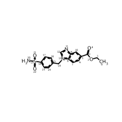 CCOC(=O)c1ccc2c(c1)ncn2Cc1ccc(S(N)(=O)=O)cc1